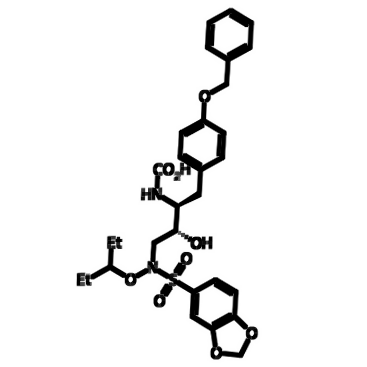 CCC(CC)ON(C[C@@H](O)[C@H](Cc1ccc(OCc2ccccc2)cc1)NC(=O)O)S(=O)(=O)c1ccc2c(c1)OCO2